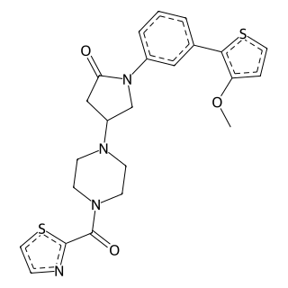 COc1ccsc1-c1cccc(N2CC(N3CCN(C(=O)c4nccs4)CC3)CC2=O)c1